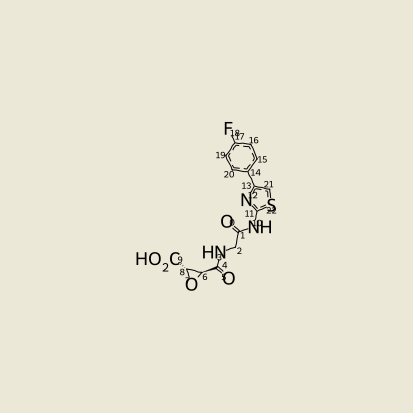 O=C(CNC(=O)[C@H]1O[C@@H]1C(=O)O)Nc1nc(-c2ccc(F)cc2)cs1